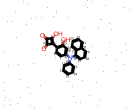 O=c1c(O)c(-c2ccc(N(c3ccccc3)c3cccc4ccccc34)cc2O)c1=O